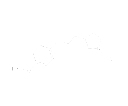 O=C(O)N1CCC(CCOc2ccc(OC(F)(F)F)cc2)C1